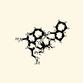 CCOCc1nc2c(N)nc3ccccc3c2n1C[C@H](C)O[P@](=O)(Oc1cccc2ccccc12)N(C)[C@@H](C)C(=O)OC(C)C